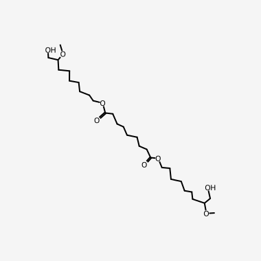 COC(CO)CCCCCCCOC(=O)CCCCCCCC(=O)OCCCCCCCC(CO)OC